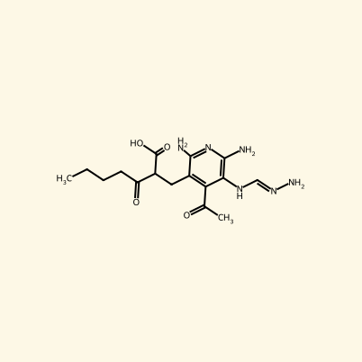 CCCCC(=O)C(Cc1c(N)nc(N)c(NC=NN)c1C(C)=O)C(=O)O